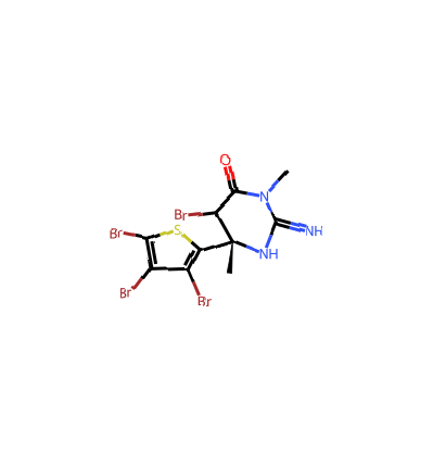 CN1C(=N)N[C@](C)(c2sc(Br)c(Br)c2Br)C(Br)C1=O